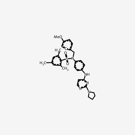 COc1ccc(CN(c2ccc(Nc3ccnc(N4CCCC4)n3)cc2)S(=O)(=O)c2c(C)cc(C)cc2C)cc1